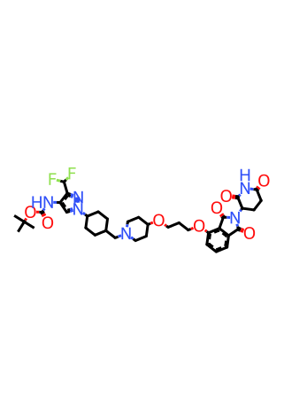 CC(C)(C)OC(=O)Nc1cn(C2CCC(CN3CCC(OCCCOc4cccc5c4C(=O)N(C4CCC(=O)NC4=O)C5=O)CC3)CC2)nc1C(F)F